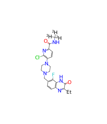 [2H]C([2H])([2H])NC(=O)c1ccc(N2CCN(Cc3ccc4nc(CC)c(=O)[nH]c4c3F)CC2)c(Cl)n1